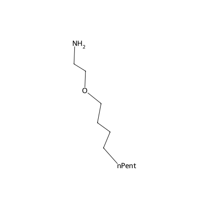 CCCCCCCCCOCCN